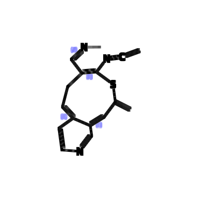 C=C=N/C1=C(\C=N/C)C/C=c2/ccnc/c2=C/C(=C)S1